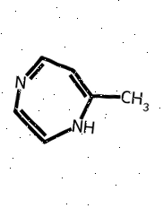 CC1=CC=NC=CN1